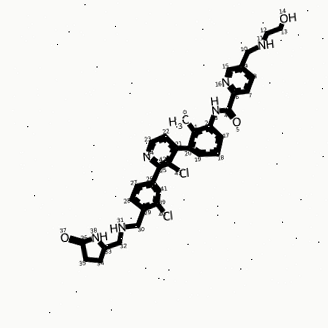 Cc1c(NC(=O)c2ccc(CNCCO)cn2)cccc1-c1ccnc(-c2ccc(CNCC3CCC(=O)N3)c(Cl)c2)c1Cl